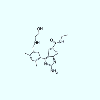 CCNC(=O)c1cc2c(-c3cc(CNCCO)c(C)cc3C)nc(N)nc2s1